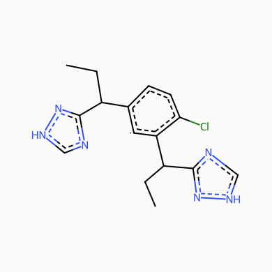 CCC(c1[c]c(C(CC)c2nc[nH]n2)c(Cl)cc1)c1nc[nH]n1